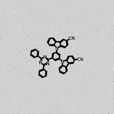 N#Cc1ccc2c(c1)c1ccccc1n2-c1cc(-c2nc(-c3ccccc3)nc(-c3ccccc3)n2)cc(-n2c3ccccc3c3cc(C#N)ccc32)c1